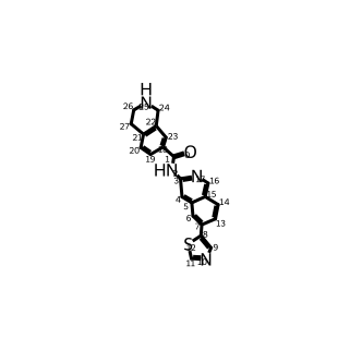 O=C(Nc1cc2cc(-c3cncs3)ccc2cn1)c1ccc2c(c1)CNCC2